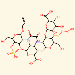 C=CCOC1OC(CO)C(OS(=O)(=O)O)C(OC2OC(C(=O)O)C(OC3OC(CO)C(OSOOO)C(OC4OC(C(=O)O)C(O)C(O)C4O)C3NC(C)=O)C(O)C2O)C1NC(C)=O